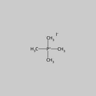 C[P+](C)(C)C.[I-]